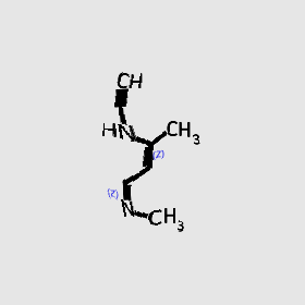 C#CN/C(C)=C\C=N/C